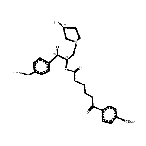 CCCCCOc1ccc([C@@H](O)[C@@H](CN2CC[C@H](O)C2)NC(=O)CCCCC(=O)c2ccc(OC)cc2)cc1